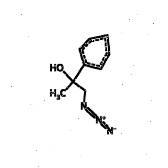 CC(O)(CN=[N+]=[N-])c1ccccc1